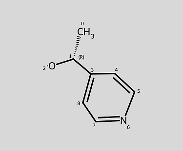 C[C@@H]([O])c1ccncc1